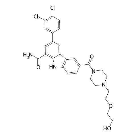 NC(=O)c1cc(-c2ccc(Cl)c(Cl)c2)cc2c1[nH]c1ccc(C(=O)N3CCN(CCOCCO)CC3)cc12